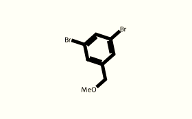 COCc1cc(Br)cc(Br)c1